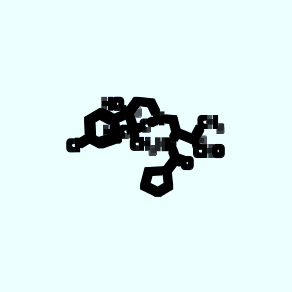 C[C@@H](C=O)C(CN1CC[C@](O)(c2ccc(Cl)cc2)C(C)(C)C1)NC(=O)C1CCCC1